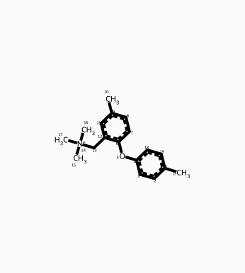 Cc1ccc(Oc2ccc(C)cc2C[N+](C)(C)C)cc1